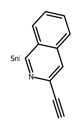 C#Cc1cc2ccccc2cn1.[Sn]